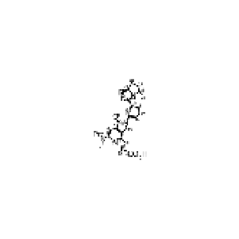 CC(C)N(C)c1cc2c(c(CN(C)C(=O)O)n1)CN(c1cccc(-c3nnc4n3C(C)CC4)n1)C2=O